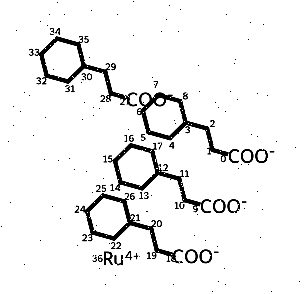 O=C([O-])CCC1CCCCC1.O=C([O-])CCC1CCCCC1.O=C([O-])CCC1CCCCC1.O=C([O-])CCC1CCCCC1.[Ru+4]